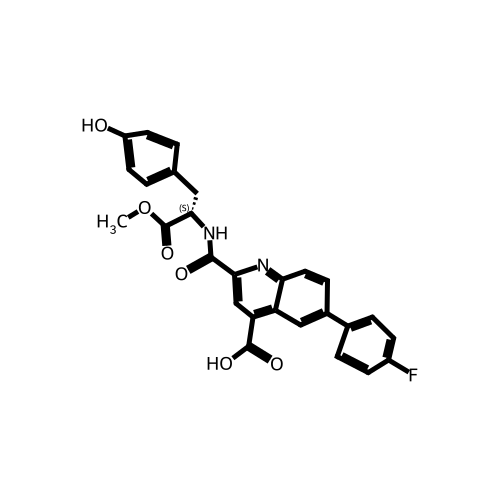 COC(=O)[C@H](Cc1ccc(O)cc1)NC(=O)c1cc(C(=O)O)c2cc(-c3ccc(F)cc3)ccc2n1